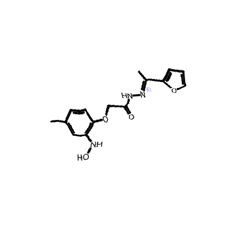 C/C(=N\NC(=O)COc1ccc(C)cc1NO)c1ccco1